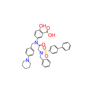 O=C(O)c1cc(N(Cc2ccc(N3CCCCC3)cc2)C(=O)CN(Cc2ccccc2)S(=O)(=O)c2ccc(-c3ccccc3)cc2)ccc1O